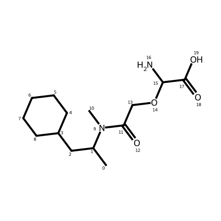 CC(CC1CCCCC1)N(C)C(=O)COC(N)C(=O)O